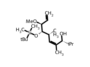 C=C[C@H](OC)[C@@H](O[Si](C)(C)C(C)(C)C)[C@H](C)/C=C(/C)[C@H](O)C(C)C